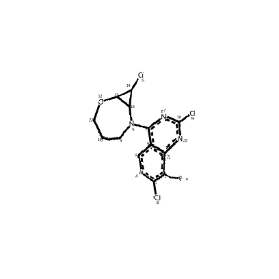 Fc1c(Cl)ncc2c(N3CCCOC4C(Cl)C43)nc(Cl)nc12